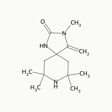 C=C1N(C)C(=O)NC12CC(C)(C)NC(C)(C)C2